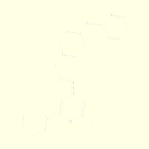 Clc1nc(N2CCOCC2)c2sc(CN3CCC(Nc4ccccn4)CC3)cc2n1